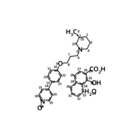 C[C@H]1CCCN(CCCOc2ccc(-c3cc[n+]([O-])cc3)cc2)C1.O.O=C(O)c1ccc2ccccc2c1O